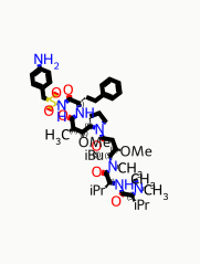 CC[C@H](C)[C@@H]([C@@H](CC(=O)N1CCC[C@H]1[C@H](OC)[C@@H](C)C(=O)N[C@@H](CCc1ccccc1)C(=O)NS(=O)(=O)Cc1ccc(N)cc1)OC)N(C)C(=O)[C@@H](NC(=O)[C@H](C(C)C)N(C)C)C(C)C